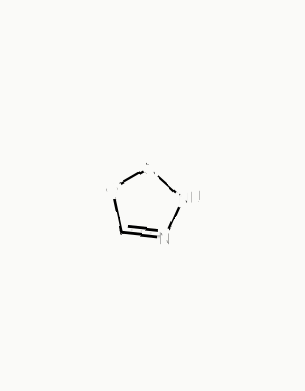 C1=NNNO1